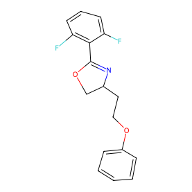 Fc1cccc(F)c1C1=NC(CCOc2ccccc2)CO1